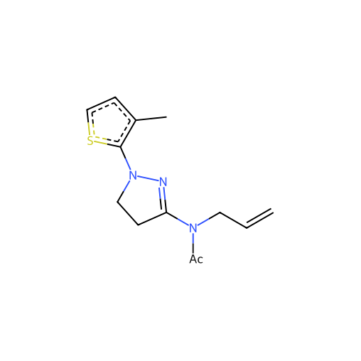 C=CCN(C(C)=O)C1=NN(c2sccc2C)CC1